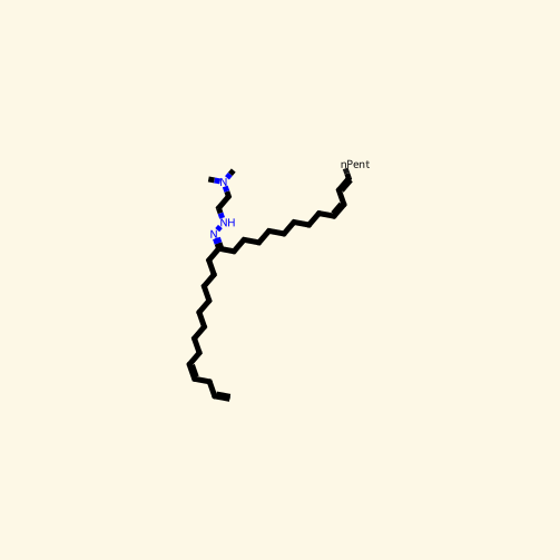 C=CC/C=C\CCCCCCCC/C(CCCCCCCC/C=C\C=C\CCCCC)=N/NCCN(C)C